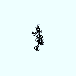 COC(=O)NC(CC/C=C/C(=O)N(C)C)C(=O)Nc1cccn(Cc2nc3cc(F)c(F)cc3n2CCOC(C)C)c1=O